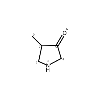 CC1CNCC1=O